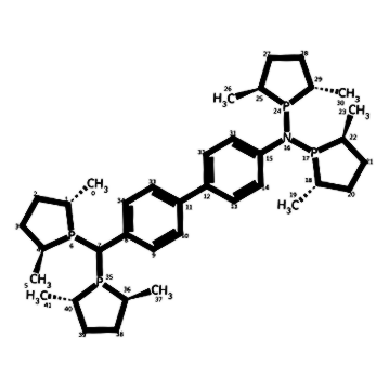 C[C@H]1CC[C@H](C)P1C(c1ccc(-c2ccc(N(P3[C@@H](C)CC[C@@H]3C)P3[C@@H](C)CC[C@@H]3C)cc2)cc1)P1[C@@H](C)CC[C@@H]1C